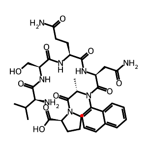 CC(C)[C@H](N)C(=O)N[C@@H](CO)C(=O)N[C@@H](CCC(N)=O)C(=O)N[C@@H](CC(N)=O)C(=O)N(c1cccc2ccccc12)[C@@H](C)C(=O)N1CCC[C@H]1C(=O)O